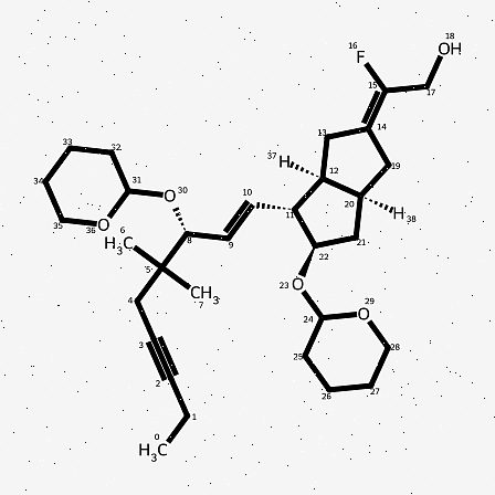 CCC#CCC(C)(C)[C@@H](/C=C/[C@@H]1[C@H]2CC(=C(F)CO)C[C@H]2C[C@H]1OC1CCCCO1)OC1CCCCO1